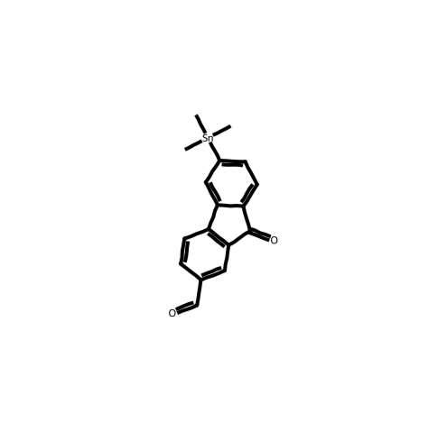 [CH3][Sn]([CH3])([CH3])[c]1ccc2c(c1)-c1ccc(C=O)cc1C2=O